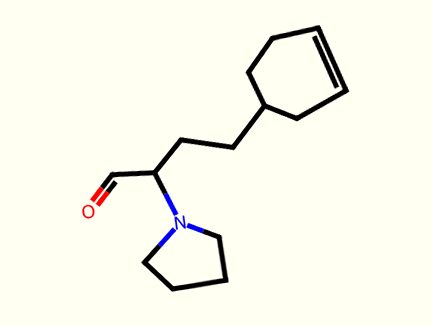 O=CC(CCC1CC=CCC1)N1CCCC1